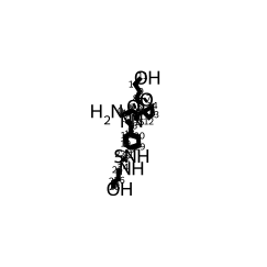 Nc1cc(C2(S(=O)(=O)CCCO)CCC2)nc(-c2ccc(NC(=S)NCCCO)cc2)n1